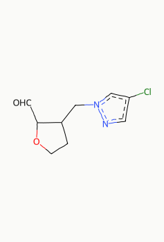 O=CC1OCCC1Cn1cc(Cl)cn1